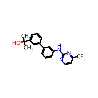 CC(C)(O)c1cccc(-c2cccc(Nc3nccc(C(F)(F)F)n3)c2)c1